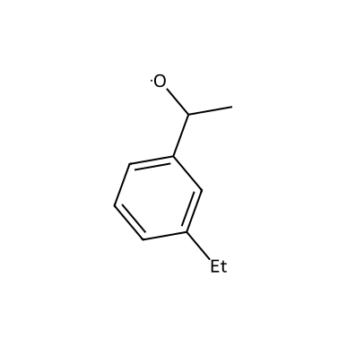 CCc1cccc(C(C)[O])c1